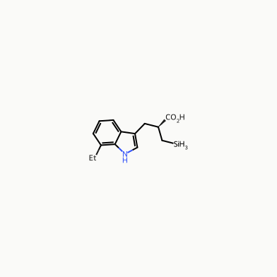 CCc1cccc2c(C[C@H](C[SiH3])C(=O)O)c[nH]c12